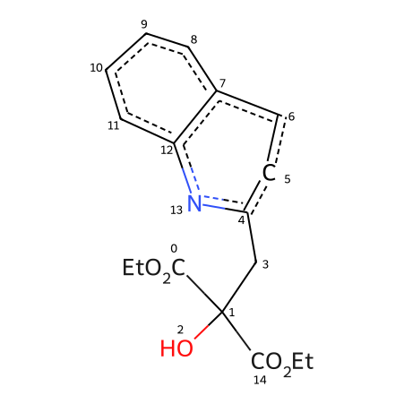 CCOC(=O)C(O)(Cc1ccc2ccccc2n1)C(=O)OCC